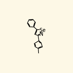 Cc1ccc(-c2cc(-c3ccccc3)[se]n2)cc1